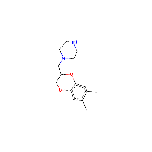 Cc1cc2c(cc1C)OC(CN1CCNCC1)CO2